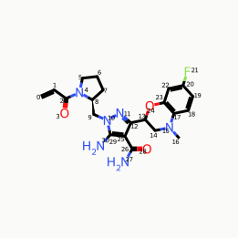 C=CC(=O)N1CCC[C@H]1Cn1nc(C2CN(C)c3ccc(F)cc3O2)c(C(N)=O)c1N